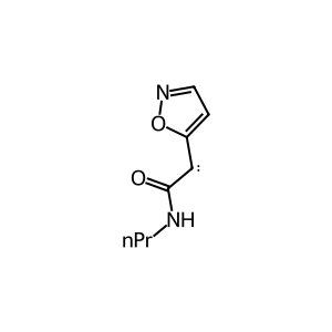 CCCNC(=O)[C]c1ccno1